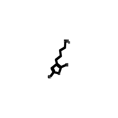 NCCCCc1cc(Cl)sc1Cl